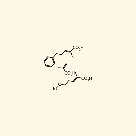 C=C(C)C(=O)O.CC(=CCCc1ccccc1)C(=O)O.CCOCCC=C(C)C(=O)O